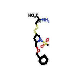 CS(=O)(=O)N1CC(SSC[C@H](N)C(=O)O)CC1COCc1ccccc1